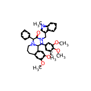 COc1ccc(CC2c3cc(OC)c(OC)cc3CCCN2C(C(=O)NCc2cn(C)c3ccccc23)c2ccccc2)cc1OC